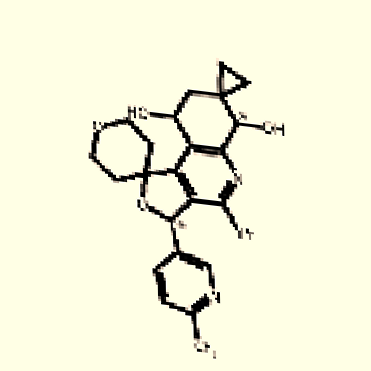 CC(C)c1nc2c(c3c1[C@@H](c1ccc(C(F)(F)F)nc1)OC31CCOCC1)C(O)CC1(CC1)[C@H]2O